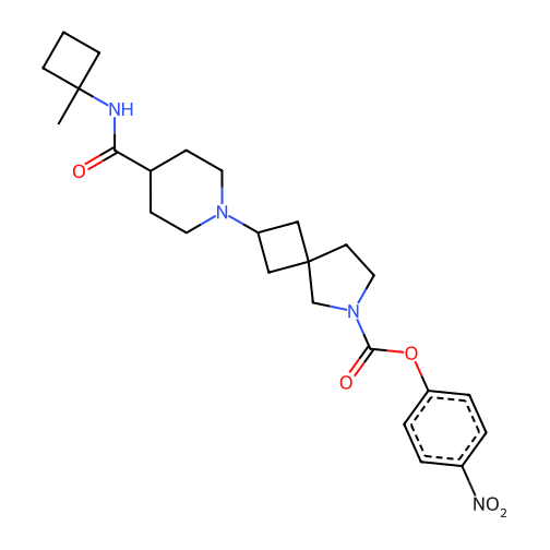 CC1(NC(=O)C2CCN(C3CC4(CCN(C(=O)Oc5ccc([N+](=O)[O-])cc5)C4)C3)CC2)CCC1